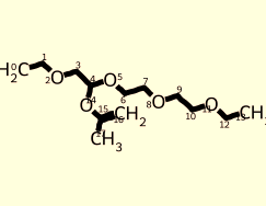 [CH2]COCC(OCCOCCOCC)OC(=C)C